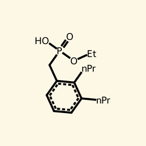 CCCc1cccc(CP(=O)(O)OCC)c1CCC